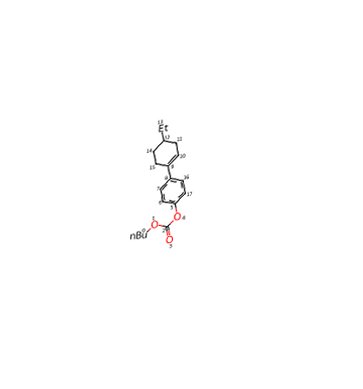 CCCCOC(=O)Oc1ccc(C2=CCC(CC)CC2)cc1